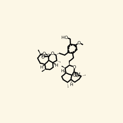 COc1cc(CC[C@H]2O[C@@H]3O[C@]4(C)CC[C@H]5[C@H](C)CC[C@@H]([C@H]2C)[C@@]35OO4)c(CC[C@H]2O[C@@H]3O[C@]4(C)CC[C@H]5[C@H](C)CC[C@@H]([C@H]2C)[C@@]35OO4)cc1CO